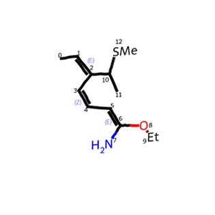 C\C=C(/C=C\C=C(/N)OCC)C(C)SC